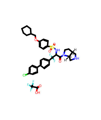 O=C(C(NS(=O)(=O)c1ccc(OCC2CCCCC2)cc1)C(F)(F)c1ccc(-c2ccc(Cl)cc2)cc1)N1CC[C@@H]2CNC[C@@H]21.O=C(O)C(F)(F)F